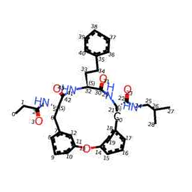 CCC(=O)N[C@H]1Cc2cccc(c2)Oc2cccc(c2)C[C@@H](C(=O)NCC(C)C)NC(=O)[C@H](CCc2ccccc2)NC1=O